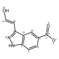 O=[N+]([O-])c1ccc2[nH]nc(C=CO)c2c1